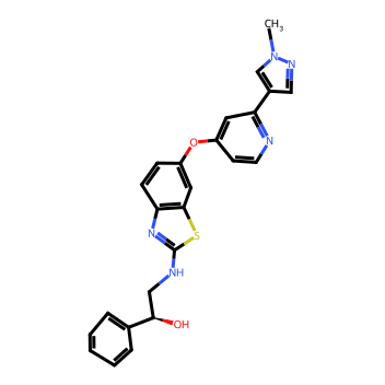 Cn1cc(-c2cc(Oc3ccc4nc(NC[C@@H](O)c5ccccc5)sc4c3)ccn2)cn1